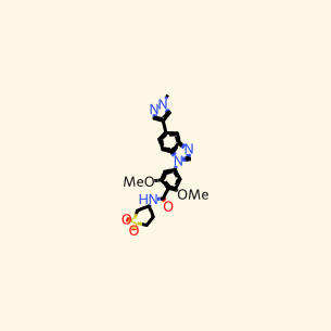 COc1cc(-n2cnc3cc(-c4cnn(C)c4)ccc32)cc(OC)c1C(=O)NC1CCS(=O)(=O)C1